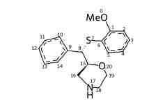 COc1ccccc1S[C@@H](c1ccccc1)[C@@H]1CNCCO1